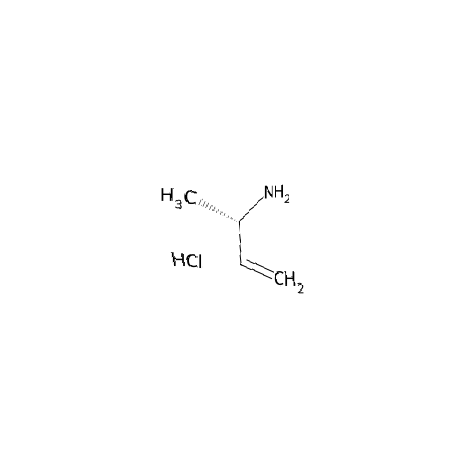 C=C[C@H](C)N.Cl